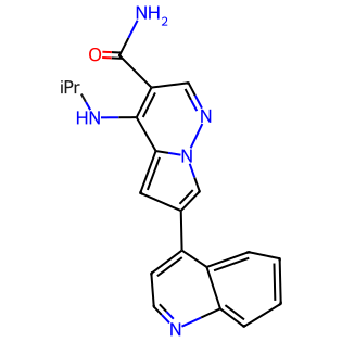 CC(C)Nc1c(C(N)=O)cnn2cc(-c3ccnc4ccccc34)cc12